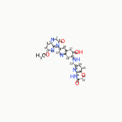 COc1ccc2ncc(=O)n(-c3cnc4c(c3)C[C@H](O)[C@H](NCc3ccc5c(n3)NC(=O)CO5)C4)c2n1